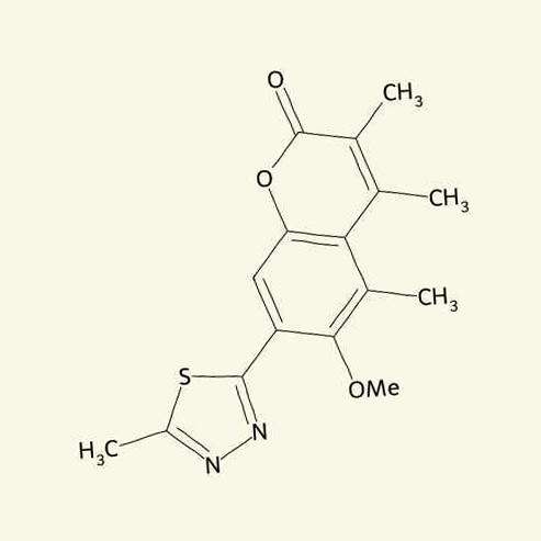 COc1c(-c2nnc(C)s2)cc2oc(=O)c(C)c(C)c2c1C